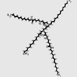 CCCCCCCCCCCCCCN(CCCCN(CCCCCCCCCCCCCC)CC(O)CNCCCC(=O)NCCCCCCCCCCCCC)CC(O)CNCCCC(=O)NCCCCCCCCCCC